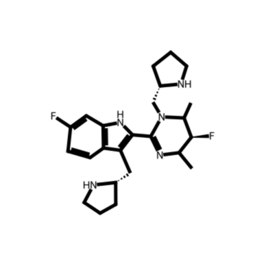 CC1N=C(c2[nH]c3cc(F)ccc3c2C[C@@H]2CCCN2)N(C[C@@H]2CCCN2)C(C)[C@H]1F